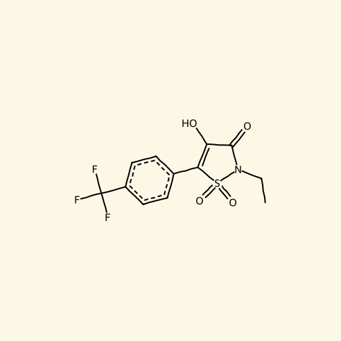 CCN1C(=O)C(O)=C(c2ccc(C(F)(F)F)cc2)S1(=O)=O